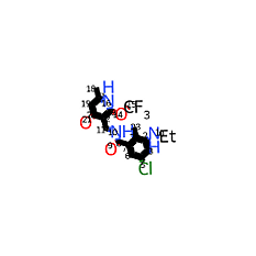 CCNc1cc(Cl)cc(C(=O)NCc2c(OC(F)(F)F)[nH]c(C)cc2=O)c1C